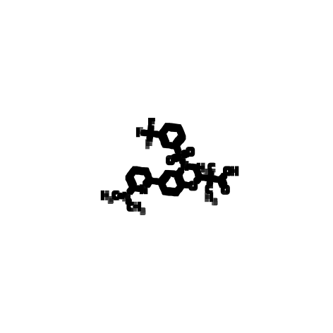 CN(C)c1cccc(-c2ccc3c(c2)N(S(=O)(=O)c2cccc(C(F)(F)F)c2)CC(C(C)(C)C(=O)O)O3)n1